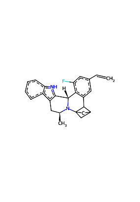 C=Cc1cc(F)c2c(c1)C1C3CC1(C3)N1[C@@H]2c2[nH]c3ccccc3c2C[C@@H]1C